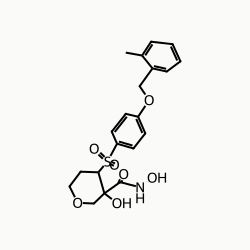 Cc1ccccc1COc1ccc(S(=O)(=O)C2CCOCC2(O)C(=O)NO)cc1